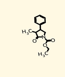 CCOC(=O)N1CC(c2ccccc2)C(C)C1=O